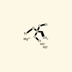 C=C[Si](OCC)(OCC)OCC.[Mg+2].[OH-].[OH-]